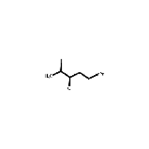 CCCCCC([O])C(C)I